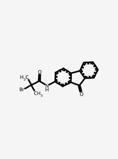 CC(C)(Br)C(=O)Nc1ccc2c(c1)C(=O)c1ccccc1-2